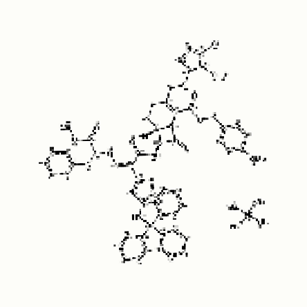 CCCC[N+](CCCC)(CCCC)CCCC.COc1ccc(COC(=O)C2=C(CSc3snc(O)c3C(=O)O)CS[C@H]3[C@H](NC(=O)/C(=N\O[C@H](Sc4ccccc4)C(=O)OC(C)(C)C)c4csc(NC(c5ccccc5)(c5ccccc5)c5ccccc5)n4)C(=O)N23)cc1